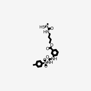 Cc1ccc(S(=O)(=O)NC(=O)Nc2cccc(C(=O)OCCCCNC(=O)N(C)S)c2)cc1